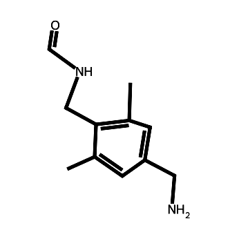 Cc1cc(CN)cc(C)c1CNC=O